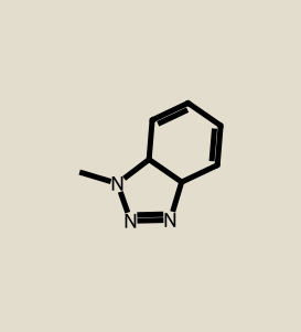 CN1N=NC2C=CC=CC21